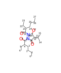 CCCCC(CC)C(=O)N1C(=O)C(=C(C)C)C(=O)N1C(=O)C(CC)CCCC